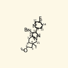 COCCC1(C)CCc2c(Br)c(-c3ccc(F)cn3)nn2C1